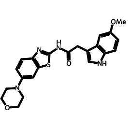 COc1ccc2[nH]cc(CC(=O)Nc3nc4ccc(N5CCOCC5)cc4s3)c2c1